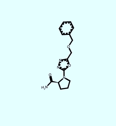 NC(=O)[C@@H]1CCCN1c1nnc(COCc2ccccc2)o1